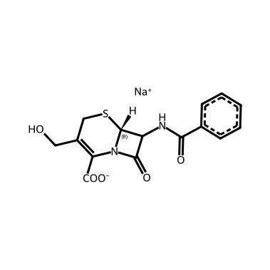 O=C([O-])C1=C(CO)CS[C@@H]2C(NC(=O)c3ccccc3)C(=O)N12.[Na+]